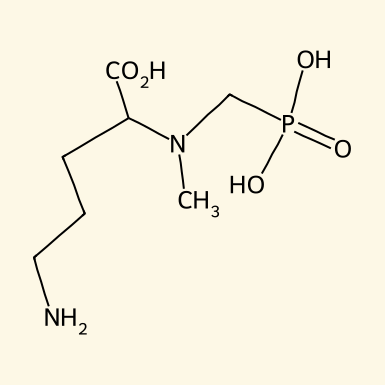 CN(CP(=O)(O)O)C(CCCN)C(=O)O